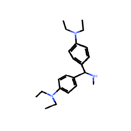 CCN(CC)c1ccc(C(NC)c2ccc(N(CC)CC)cc2)cc1